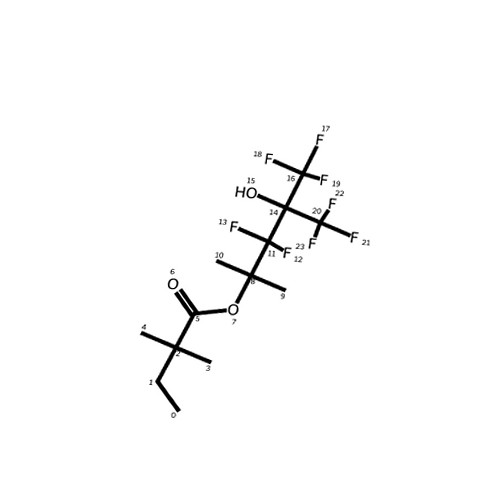 CCC(C)(C)C(=O)OC(C)(C)C(F)(F)C(O)(C(F)(F)F)C(F)(F)F